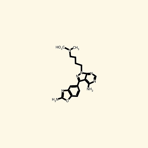 CN(CCCCn1nc(-c2ccc3oc(N)nc3c2)c2c(N)ncnc21)C(=O)O